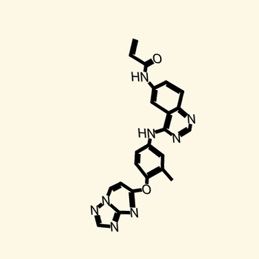 C=CC(=O)Nc1ccc2ncnc(Nc3ccc(Oc4ccn5ncnc5n4)c(C)c3)c2c1